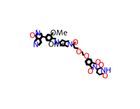 COc1cc(-c2cn(C)c(=O)c3cnccc23)cc(OC)c1CN(C)C1CC2CN(C(=O)CCOCCOc3ccc4c(c3)C(=O)N(C3CCC(=O)NC3=O)C4=O)CC2C1